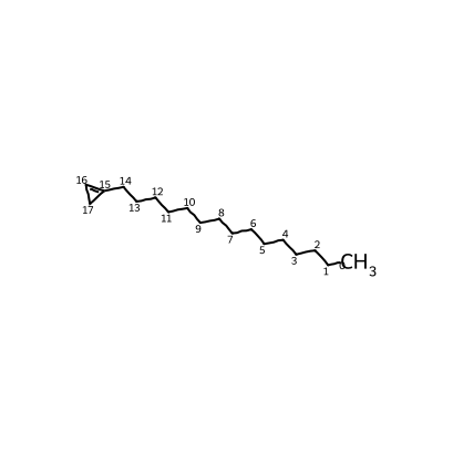 CCCCCCCCCCCCCCCC1=CC1